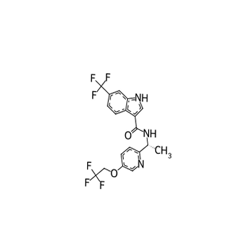 C[C@@H](NC(=O)c1c[nH]c2cc(C(F)(F)F)ccc12)c1ccc(OCC(F)(F)F)cn1